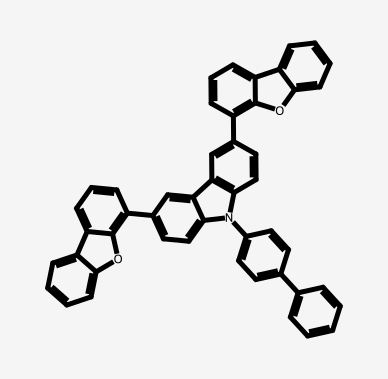 c1ccc(-c2ccc(-n3c4ccc(-c5cccc6c5oc5ccccc56)cc4c4cc(-c5cccc6c5oc5ccccc56)ccc43)cc2)cc1